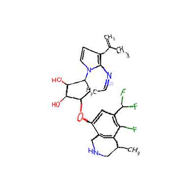 C=C(C)c1ccn(C2CC(Oc3cc(C(F)F)c(F)c4c3CNCC4C)C(O)C2O)c1/N=C\C